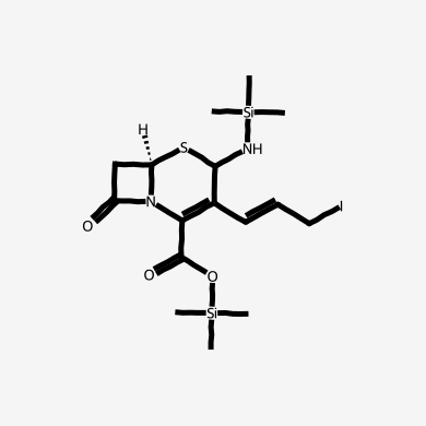 C[Si](C)(C)NC1S[C@@H]2CC(=O)N2C(C(=O)O[Si](C)(C)C)=C1/C=C/CI